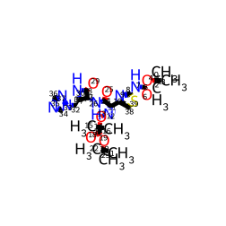 CC(C)(C)OC(=O)Nc1nc(/C(=N/OC(C)(C)C(=O)OC(C)(C)C)C(=O)N[C@@H]2C(=O)N[C@@H]2Cn2cncn2)cs1